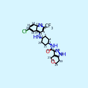 O=C(NC1CCC(Nc2cc(C(F)(F)F)nc3ccc(Cl)cc23)CC1)c1n[nH]c2c1COCC2